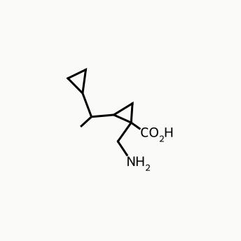 CC(C1CC1)C1CC1(CN)C(=O)O